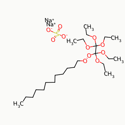 CCCCCCCCCCCCOOC(OCC)(OCC)C(OCC)(OCC)OCC.O=S(=O)([O-])[O-].[Na+].[Na+]